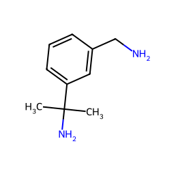 CC(C)(N)c1cccc(CN)c1